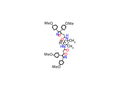 COc1ccc(-c2noc(CC(=O)NC(C)(C)CC(C)(C)NC(=O)Cc3onc(-c4ccc(OC)cc4)c3-c3ccc(OC)cc3)c2-c2ccc(OC)cc2)cc1